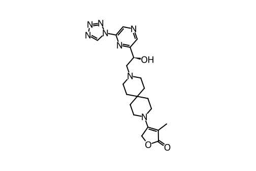 CC1=C(N2CCC3(CCN(C[C@H](O)c4cncc(-n5cnnn5)n4)CC3)CC2)COC1=O